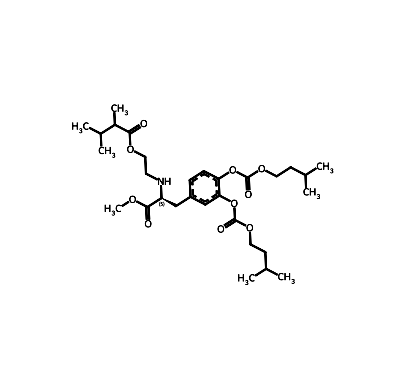 COC(=O)[C@H](Cc1ccc(OC(=O)OCCC(C)C)c(OC(=O)OCCC(C)C)c1)NCCOC(=O)C(C)C(C)C